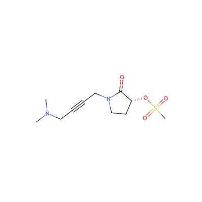 CN(C)CC#CCN1CC[C@@H](OS(C)(=O)=O)C1=O